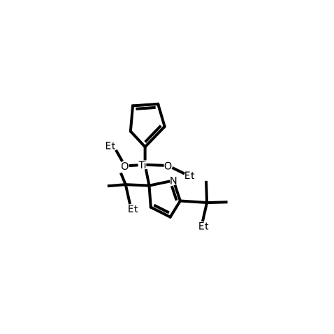 CC[O][Ti]([O]CC)([C]1=CC=CC1)[C]1(C(C)(C)CC)C=CC(C(C)(C)CC)=N1